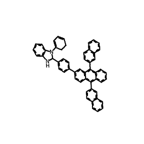 C1=CCCC(N2c3ccccc3NC2c2ccc(-c3ccc4c(-c5ccc6ccccc6c5)c5ccccc5c(-c5ccc6ccccc6c5)c4c3)cc2)=C1